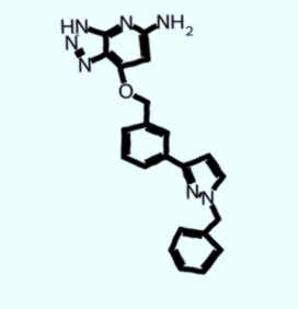 Nc1cc(OCc2cccc(-c3ccn(Cc4ccccc4)n3)c2)c2nn[nH]c2n1